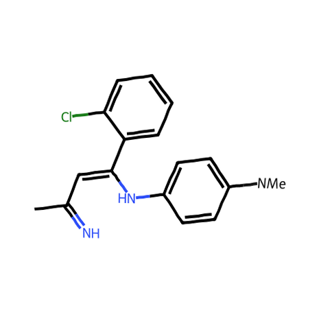 CNc1ccc(N/C(=C\C(C)=N)c2ccccc2Cl)cc1